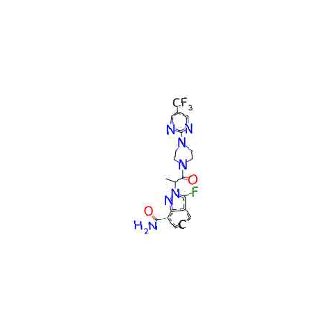 CC(C(=O)N1CCN(c2ncc(C(F)(F)F)cn2)CC1)n1nc2c(C(N)=O)cccc2c1F